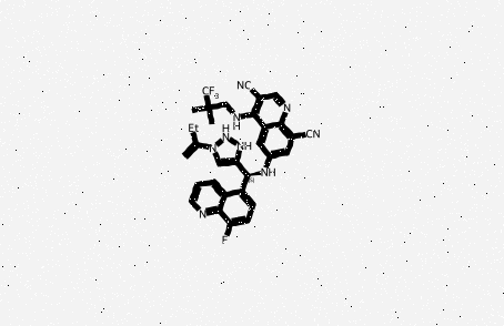 C=C(CC)N1C=C([C@@H](Nc2cc(C#N)c3ncc(C#N)c(NCC(C)(C)C(F)(F)F)c3c2)c2ccc(F)c3ncccc23)NN1